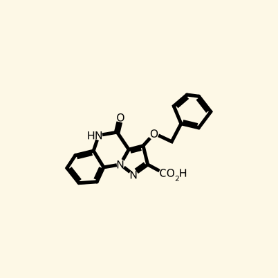 O=C(O)c1nn2c(c1OCc1ccccc1)c(=O)[nH]c1ccccc12